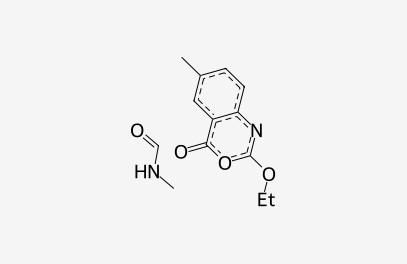 CCOc1nc2ccc(C)cc2c(=O)o1.CNC=O